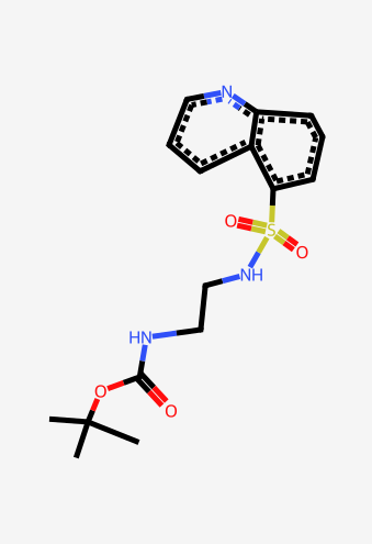 CC(C)(C)OC(=O)NCCNS(=O)(=O)c1cccc2ncccc12